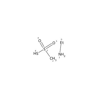 CCN.CS(=O)(=O)S